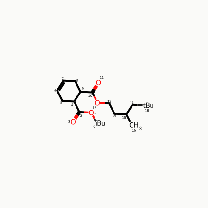 CCC(C)OC(=O)C1CC=CCC1C(=O)OCCC(C)CC(C)(C)C